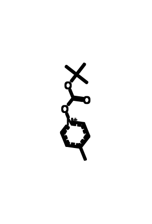 Cc1cc[n+](OC(=O)OC(C)(C)C)cc1